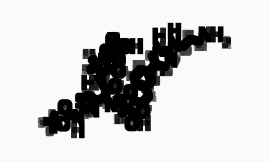 CC(C)(C)OC(=O)Nc1nc(/C(=N/OC(C)(C(=O)O)[C@H]2CCc3cc(C4CN=C(NCCCN)NC4)ccc3O2)C(=O)NC2C(=O)N(OS(=O)(=O)O)C2(C)C)cs1